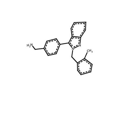 Cc1ccccc1Cn1nc2ccccc2c1-c1ccc(CN)cc1